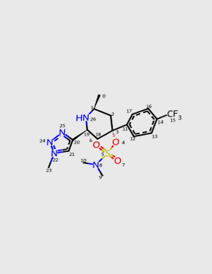 C[C@H]1C[C@@](OS(=O)(=O)N(C)C)(c2ccc(C(F)(F)F)cc2)C[C@@H](c2cn(C)nn2)N1